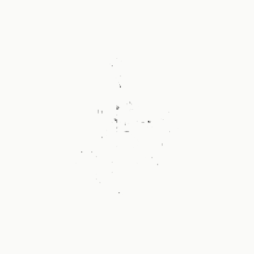 Cc1cc(-c2c(F)c3nc(OC[C@@]45CCCN4C[C@H](F)C5)nc(N4C[C@H]5CC[C@@H](C4)N5C(=O)OC(C)(C)C)c3c3cc(C)oc23)c2c(C#C[Si](C(C)C)(C(C)C)C(C)C)c(F)ccc2c1